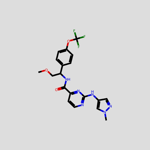 COCC(NC(=O)c1ccnc(Nc2cnn(C)c2)n1)c1ccc(OC(F)(F)F)cc1